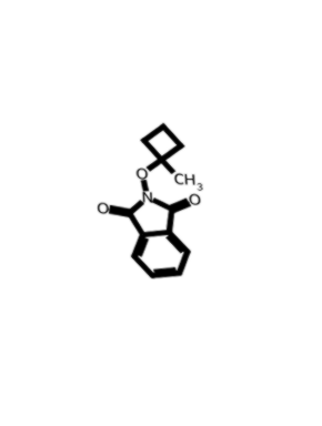 CC1(ON2C(=O)c3ccccc3C2=O)CCC1